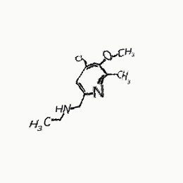 CCNCc1cc(Cl)c(OC)c(C)n1